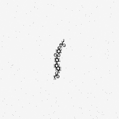 C=CC(=O)OCOc1ccc(OC(=O)c2ccc(-c3ccc4cc(COC(=O)C=C)ccc4c3)cc2)cc1